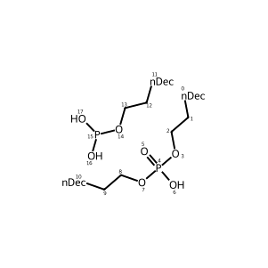 CCCCCCCCCCCCOP(=O)(O)OCCCCCCCCCCCC.CCCCCCCCCCCCOP(O)O